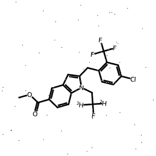 [2H]C([2H])(F)Cn1c(Cc2ccc(Cl)cc2C(F)(F)F)cc2cc(C(=O)OC)ccc21